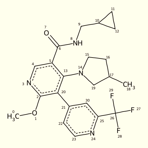 COc1ncc(C(=O)NCC2CC2)c(N2CCC(C)C2)c1-c1ccnc(C(F)(F)F)c1